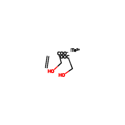 C=C.O=C([O-])CO.O=C([O-])CO.[Te+2]